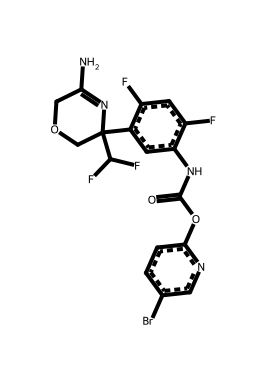 NC1=NC(c2cc(NC(=O)Oc3ccc(Br)cn3)c(F)cc2F)(C(F)F)COC1